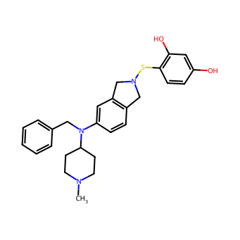 CN1CCC(N(Cc2ccccc2)c2ccc3c(c2)CN(Sc2ccc(O)cc2O)C3)CC1